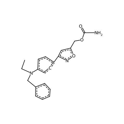 CCN(Cc1ccccc1)c1ccc(-c2cc(COC(N)=O)on2)cc1